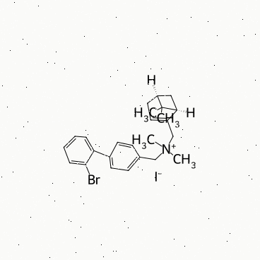 CC1(C)[C@H]2CC=C(C[N+](C)(C)Cc3ccc(-c4ccccc4Br)cc3)[C@@H]1C2.[I-]